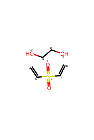 C=CS(=O)(=O)C=C.OCCO